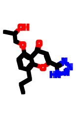 CCCc1ccc(OCC(C)O)c2c(=O)cc(-c3nnn[nH]3)oc12